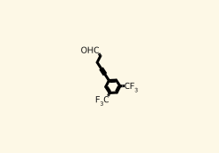 O=CCCC#Cc1cc(C(F)(F)F)cc(C(F)(F)F)c1